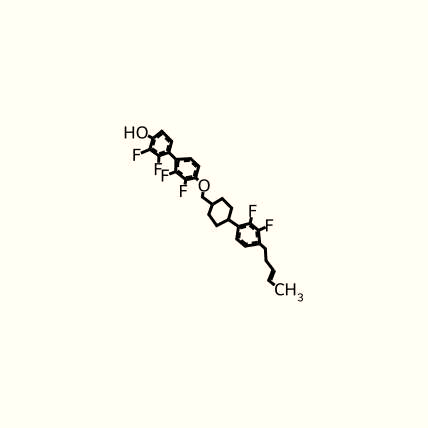 C/C=C/CCc1ccc(C2CCC(COc3ccc(-c4ccc(O)c(F)c4F)c(F)c3F)CC2)c(F)c1F